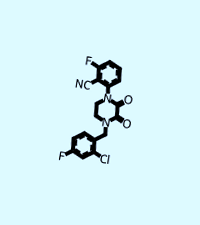 N#Cc1c(F)cccc1N1CCN(Cc2ccc(F)cc2Cl)C(=O)C1=O